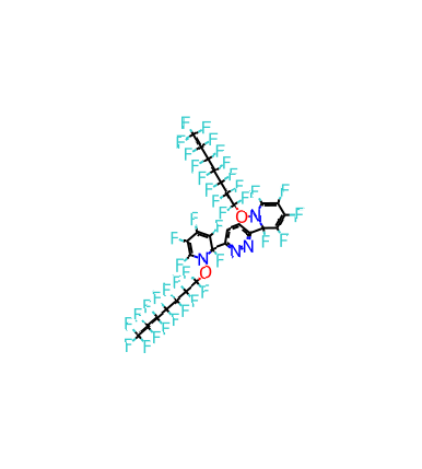 FC1=C(F)N(OC(F)(F)C(F)(F)C(F)(F)C(F)(F)C(F)(F)C(F)(F)C(F)(F)F)C(F)(c2ccc(C3(F)C(F)=C(F)C(F)=C(F)N3OC(F)(F)C(F)(F)C(F)(F)C(F)(F)C(F)(F)C(F)(F)C(F)(F)F)nn2)C(F)=C1F